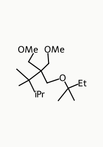 CCC(C)(C)OCC(COC)(COC)C(C)(C)C(C)C